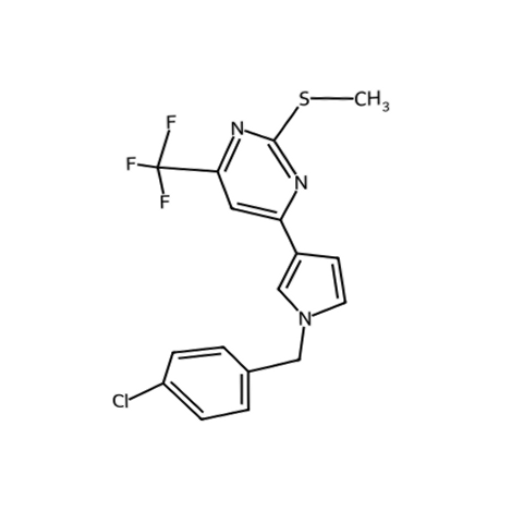 CSc1nc(-c2ccn(Cc3ccc(Cl)cc3)c2)cc(C(F)(F)F)n1